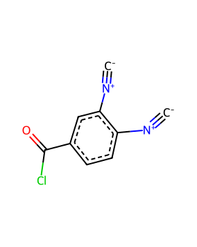 [C-]#[N+]c1ccc(C(=O)Cl)cc1[N+]#[C-]